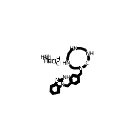 Cl.Cl.Cl.Cl.Cl.Nc1nc2ccccc2n1Cc1ccc(CN2CCCNCCNCCCNCC2)cc1